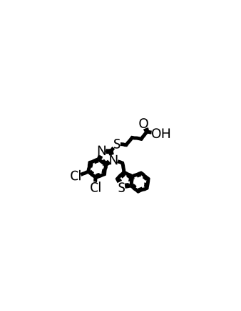 O=C(O)CCCSc1nc2cc(Cl)c(Cl)cc2n1Cc1csc2ccccc12